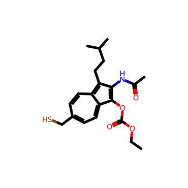 CCOC(=O)Oc1c2ccc(CS)ccc-2c(CCC(C)C)c1NC(C)=O